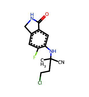 CC(C#N)(CCCl)Nc1cc2c(cc1F)CNC2=O